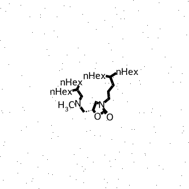 CCCCCCC(CCCCCC)CCCN1C[C@@H](CN(C)CC(CCCCCC)CCCCCC)OC1=O